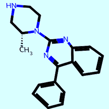 C[C@@H]1CNCCN1c1nc(-c2ccccc2)c2ccccc2n1